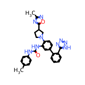 Cc1ccc(NC(=O)Nc2cc(-c3ccccc3-c3nnn[nH]3)ccc2N2CCC(c3nc(C)no3)C2)cc1